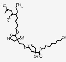 CCCCCCCCOC(=O)C(S)(CS)CCOCCC(S)(CS)C(=O)OCCCCC(CCC)C(=C=O)CC(O)=S